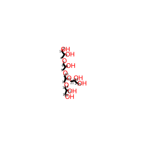 OCC(O)COCC(O)COCC(COCC(O)CO)OCC(O)CO